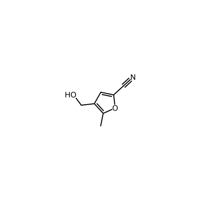 Cc1oc(C#N)cc1CO